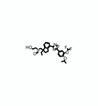 CCC1(CN(C=O)CCO)CCc2c(-c3noc(-c4ccc(OC(C)C)c(OC(F)F)c4)n3)cccc21